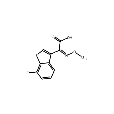 CON=C(C(=O)O)c1csc2c(F)cccc12